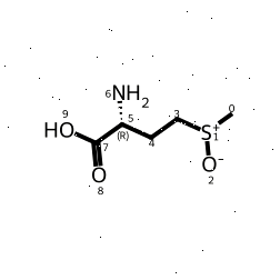 C[S+]([O-])CC[C@@H](N)C(=O)O